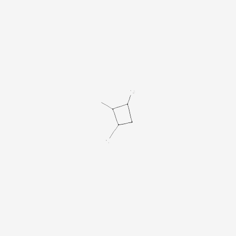 CCC1C(N)CC1N